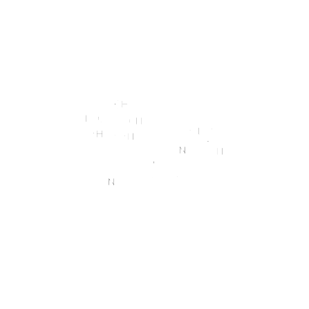 [2H]C([2H])([2H])c1ccc2c(n1)oc1c(-c3cc(C([2H])([2H])C(C)(C)C)ccn3)cccc12